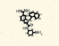 N=C(N)c1ccc2cc(C(=O)NC3CCCC(N)C3)n(Cc3cccc4ccccc34)c2c1